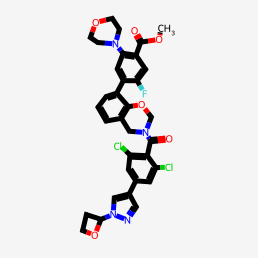 COC(=O)c1cc(F)c(-c2cccc3c2OCN(C(=O)c2c(Cl)cc(-c4cnn(C5CCO5)c4)cc2Cl)C3)cc1N1CCOCC1